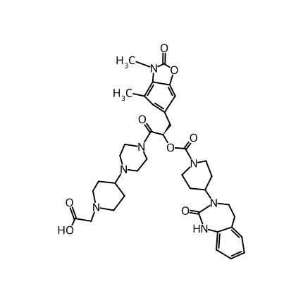 Cc1cc(C[C@@H](OC(=O)N2CCC(N3CCc4ccccc4NC3=O)CC2)C(=O)N2CCN(C3CCN(CC(=O)O)CC3)CC2)cc2oc(=O)n(C)c12